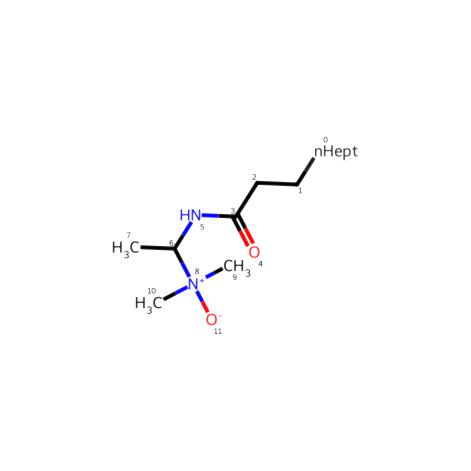 CCCCCCCCCC(=O)NC(C)[N+](C)(C)[O-]